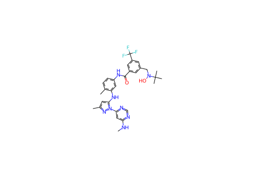 CNc1cc(-n2nc(C)cc2Nc2cc(NC(=O)c3cc(CN(O)C(C)(C)C)cc(C(F)(F)F)c3)ccc2C)ncn1